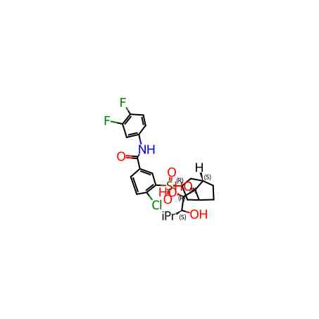 CC(C)[C@H](O)[C@@H](O)[C@@]1(O)C2CC[C@H]1C[C@H](S(=O)(=O)c1cc(C(=O)Nc3ccc(F)c(F)c3)ccc1Cl)C2